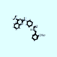 COc1ccccc1CNC(=O)[C@H]1CC[C@@H](Nc2nc(N(C)C)c3ccccc3n2)CC1